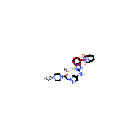 CSc1cccc(S(=O)(=O)N2C3CCC2CN(c2cccn4nc(Nc5cnn(CC(=O)N6CCN(C)CC6)c5)nc24)C3)c1